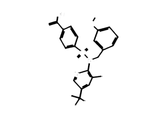 COc1cccc(CN(c2ncc(C(F)(F)F)cc2Cl)S(=O)(=O)c2ccc(C(=O)O)cc2)c1